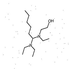 CCCCCC(N(CC)CC)N(CC)CCO